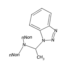 CCCCCCCCCN(CCCCCCCCC)C(C)n1nnc2ccccc21